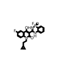 O=c1c(C2=NP(=O)(F)c3ccccc3N2)c(O)c2cc(F)ccc2n1CCC1CC1